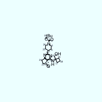 CC(C)(C)OC(=O)N1CCC(c2nc3c(c(NC4(CO)CCC4)n2)[S+]([O-])CC3)CC1